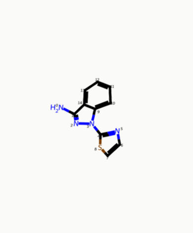 Nc1nn(-c2nccs2)c2ccccc12